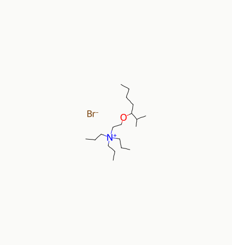 CCCCC(OCC[N+](CCC)(CCC)CCC)C(C)C.[Br-]